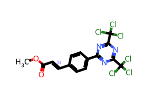 COC(=O)/C=C/c1ccc(-c2nc(C(Cl)(Cl)Cl)nc(C(Cl)(Cl)Cl)n2)cc1